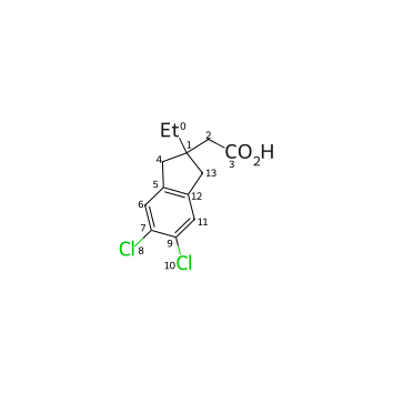 CCC1(CC(=O)O)Cc2cc(Cl)c(Cl)cc2C1